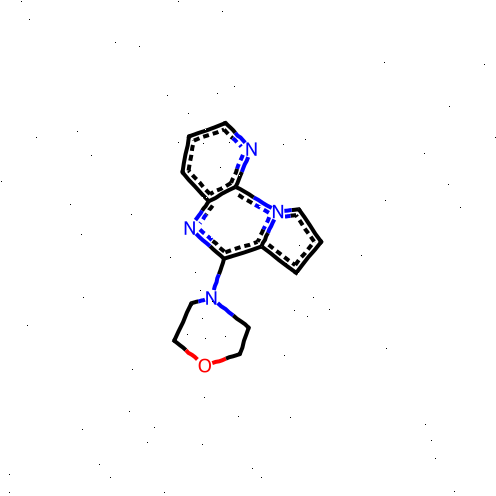 c1cnc2c(c1)nc(N1CCOCC1)c1cccn12